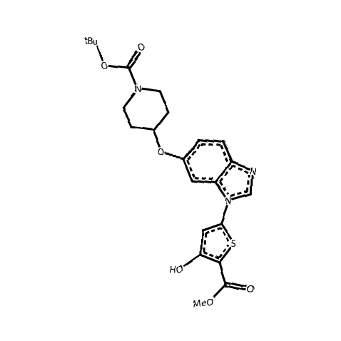 COC(=O)c1sc(-n2cnc3ccc(OC4CCN(C(=O)OC(C)(C)C)CC4)cc32)cc1O